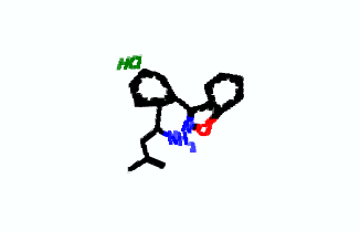 C=C(C)CC(N)c1ccccc1-c1noc2ccccc12.Cl